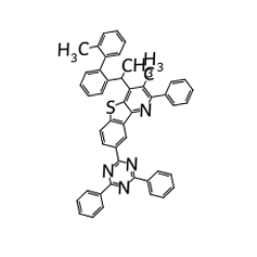 Cc1ccccc1-c1ccccc1C(C)c1c(C)c(-c2ccccc2)nc2c1sc1ccc(-c3nc(-c4ccccc4)nc(-c4ccccc4)n3)cc12